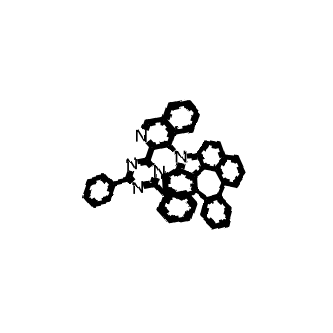 c1ccc(-c2nc(-c3ccccc3)nc(-c3ncc4ccccc4c3-n3c4cccc5c4c4c6c(cccc6ccc43)-c3ccccc3-5)n2)cc1